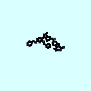 Cn1nc(-c2ccc(OCc3ccccc3)nc2OCc2ccccc2)c2ccc(NC3CCC4C(C3)CN(C(=O)O)C4C(C)(C)C)cc21